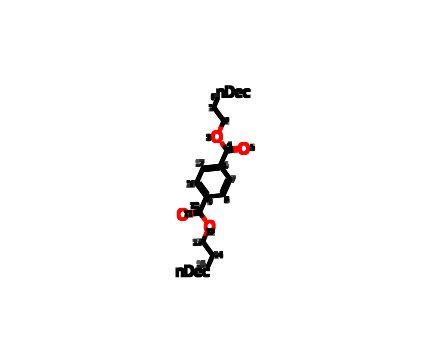 CCCCCCCCCCCCOC(=O)c1ccc(C(=O)OCCCCCCCCCCCC)cc1